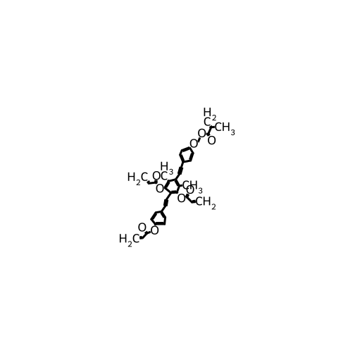 C=CC(=O)Oc1ccc(C#Cc2c(OC(=O)C=C)c(C)c(C#Cc3ccc(OCOC(=O)C(=C)C)cc3)c(C)c2OC(=O)C=C)cc1